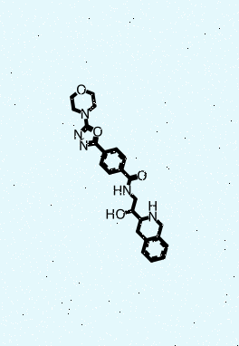 O=C(NCC(O)C1Cc2ccccc2CN1)c1ccc(-c2nnc(N3CCOCC3)o2)cc1